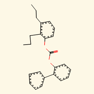 CCCc1cccc(OC(=O)Oc2ccccc2-c2ccccc2)c1CCC